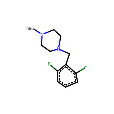 CCCCN1CCN(Cc2c(F)cccc2Cl)CC1